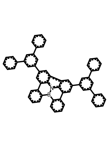 c1ccc(-c2cc(-c3ccccc3)cc(-c3cc4c5c(c3)c3cc(-c6cc(-c7ccccc7)cc(-c7ccccc7)c6)cc6c3n5B(c3ccccc3-4)c3ccccc3-6)c2)cc1